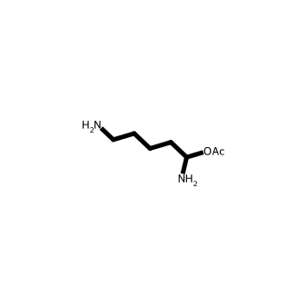 CC(=O)OC(N)CCCCN